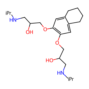 CC(C)NCC(O)COc1cc2c(cc1OCC(O)CNC(C)C)CCCC2